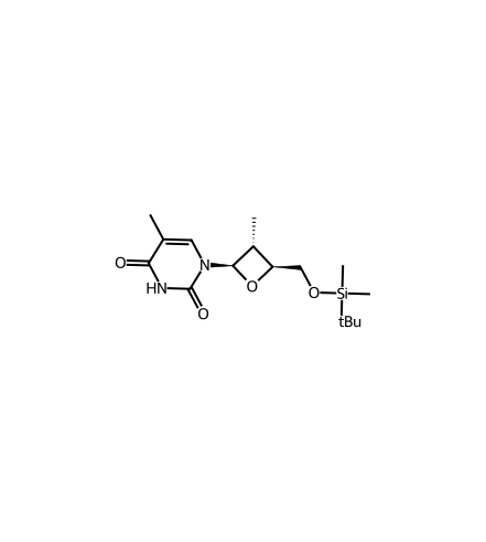 Cc1cn([C@@H]2O[C@H](CO[Si](C)(C)C(C)(C)C)[C@H]2C)c(=O)[nH]c1=O